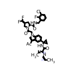 C=N/C(=N\C=C/C)C(=O)NC1(c2ccc3c(c2)c(C(C)=O)cn3CC(=O)N2CC(=C(F)F)C[C@H]2C(=O)NCc2cccc(Cl)c2F)CC1